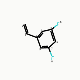 C=[C]c1cc(F)cc(F)c1